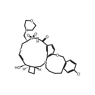 O=C1NS(=O)(=O)[C@H](CN2CCOCC2)CC/C=C/[C@H](O)[C@@H]2CC[C@H]2CN2CCCCc3cc(Cl)ccc3COc3ccc1cc32